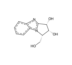 OC[C@H]1[C@@H](O)[C@@H](O)c2nc3ccccc3n21